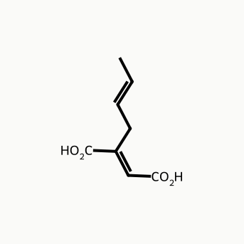 CC=CC/C(=C\C(=O)O)C(=O)O